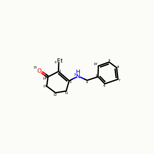 CCC1=C(NCc2ccccc2)CCCC1=O